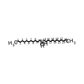 CCCCCCCCCCCC[SiH](O)CCCCCCCCCCCC